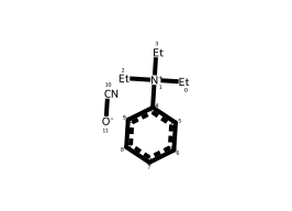 CC[N+](CC)(CC)c1ccccc1.N#C[O-]